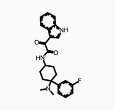 CN(C)C1(c2cccc(F)c2)CCC(NC(=O)C(=O)c2c[nH]c3ccccc23)CC1